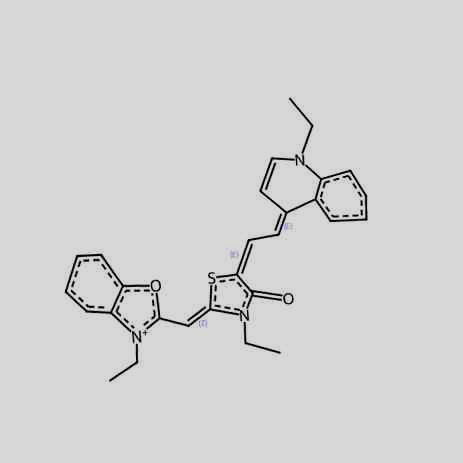 CCN1C=C/C(=C\C=c2\s/c(=C\c3oc4ccccc4[n+]3CC)n(CC)c2=O)c2ccccc21